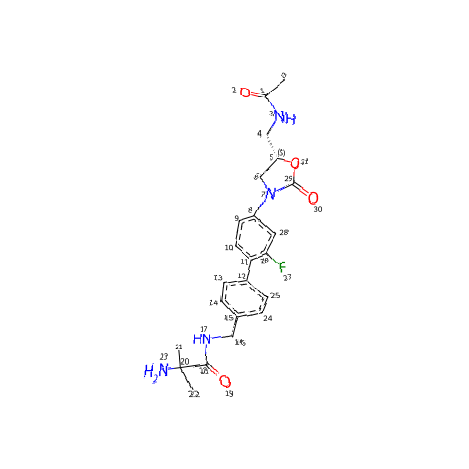 CC(=O)NC[C@H]1CN(c2ccc(-c3ccc(CNC(=O)C(C)(C)N)cc3)c(F)c2)C(=O)O1